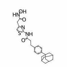 O=C(Cc1csc(NC(=O)CCc2ccc(C34CC5CC(CC(C5)C3)C4)cc2)n1)NO